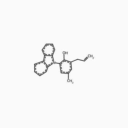 C=CCc1cc(C)cc(-n2c3ccccc3c3ccccc32)c1O